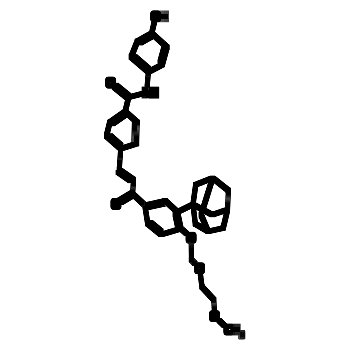 COCCOCOc1ccc(C(=O)/C=C/c2ccc(C(=O)Nc3ccc(O)cc3)cc2)cc1C12CC3CC(CC(C3)C1)C2